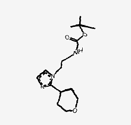 CC(C)(C)OC(=O)NCCn1ccnc1C1CCOCC1